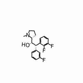 CN1CCC[C@@H]1[C@@H](O)[C@@H](c1cccc(F)c1)c1cccc(F)c1F